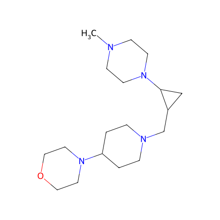 CN1CCN(C2CC2CN2CCC(N3CCOCC3)CC2)CC1